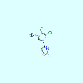 Cc1nc(-c2cc(Cl)c(F)c(C(C)(C)C)c2)co1